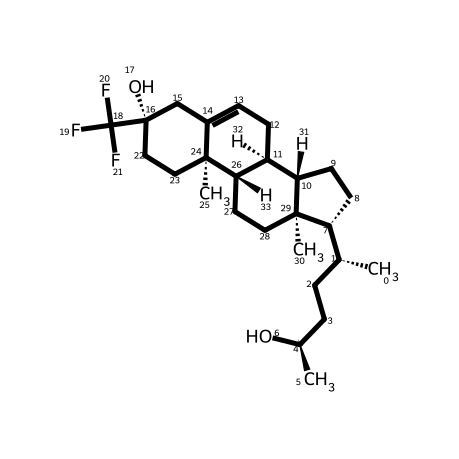 C[C@H](CC[C@@H](C)O)[C@H]1CC[C@H]2[C@@H]3CC=C4C[C@](O)(C(F)(F)F)CC[C@]4(C)[C@H]3CC[C@]12C